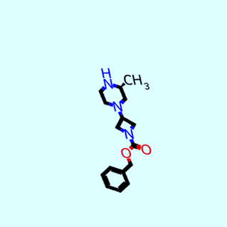 C[C@H]1CN(C2CN(C(=O)OCc3ccccc3)C2)CCN1